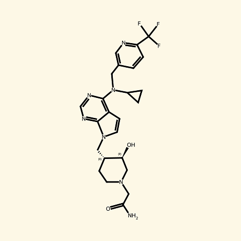 NC(=O)CN1CC[C@H](Cn2ccc3c(N(Cc4ccc(C(F)(F)F)nc4)C4CC4)ncnc32)[C@@H](O)C1